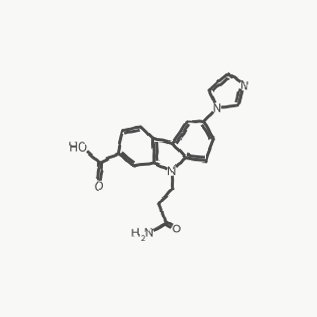 NC(=O)CCn1c2ccc(-n3ccnc3)cc2c2ccc(C(=O)O)cc21